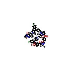 C[C@H](NCCc1ccc(O)cc1)[C@H](O)c1ccc(O)cc1.Cc1nc2n(c(=O)c1CCN1CCC(c3noc4cc(F)ccc34)CC1)CCCC2.Cc1nc2sccn2c(=O)c1CCN1CCC(=C(c2ccc(F)cc2)c2ccc(F)cc2)CC1